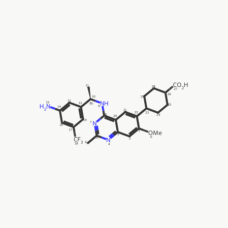 COc1cc2nc(C)nc(N[C@H](C)c3cc(N)cc(C(F)(F)F)c3)c2cc1C1CCC(C(=O)O)CC1